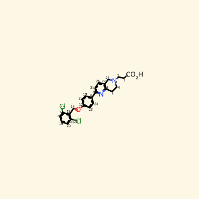 O=C(O)CCN1CCc2nc(-c3ccc(OCc4c(Cl)cccc4Cl)cc3)ccc2C1